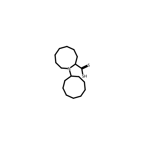 S=C(S)C1CCCCCCCN1C1CCCCCCCC1